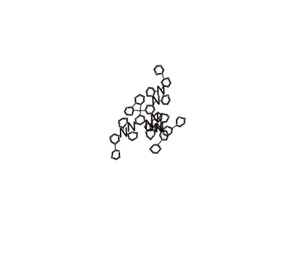 c1ccc(-c2cccc(N3c4ccccc4N(c4cc(N5c6ccccc6N(c6cccc(-c7ccccc7)c6)c6ccccc65)cc(C5(c6cc(N7c8ccccc8N(c8cccc(-c9ccccc9)c8)c8ccccc87)cc(N7c8ccccc8N(c8cccc(-c9ccccc9)c8)c8ccccc87)c6)c6ccccc6-c6ccccc65)c4)c4ccccc43)c2)cc1